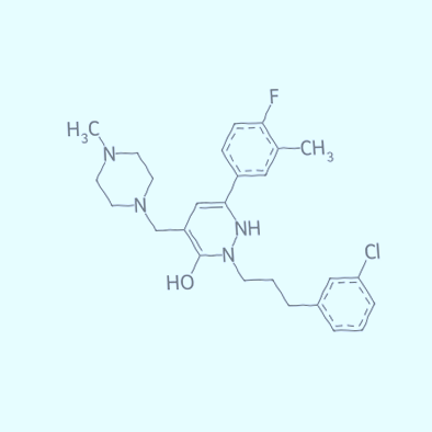 Cc1cc(C2=CC(CN3CCN(C)CC3)=C(O)N(CCCc3cccc(Cl)c3)N2)ccc1F